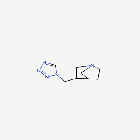 c1nnnn1CC1CN2CCC1C2